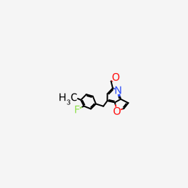 Cc1ccc(Cc2cc(C=O)nc3ccoc23)cc1F